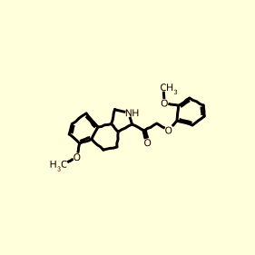 COc1ccccc1OCC(=O)C1NCC2c3cccc(OC)c3CCC12